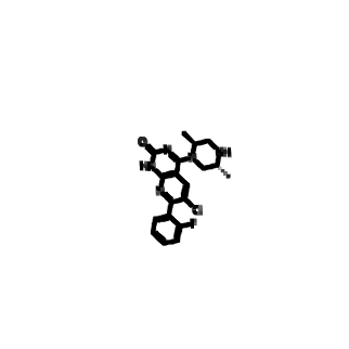 C[C@@H]1CN(c2nc(=O)[nH]c3nc(-c4ccccc4F)c(Cl)cc23)[C@@H](C)CN1